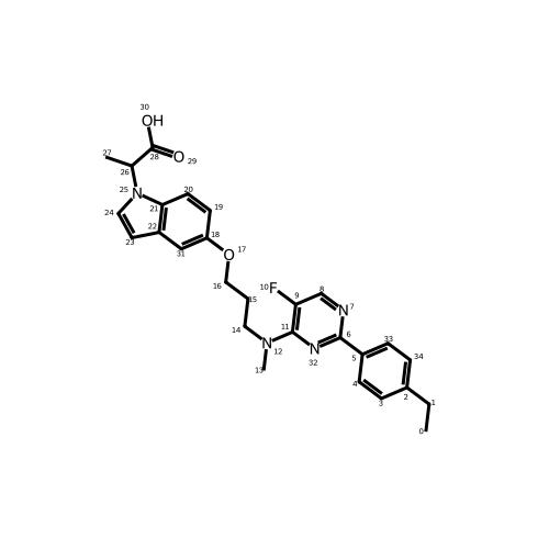 CCc1ccc(-c2ncc(F)c(N(C)CCCOc3ccc4c(ccn4C(C)C(=O)O)c3)n2)cc1